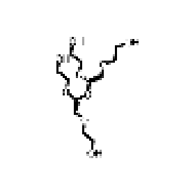 OCCOC=C(OCCO)OC(=COCCO)OCCO